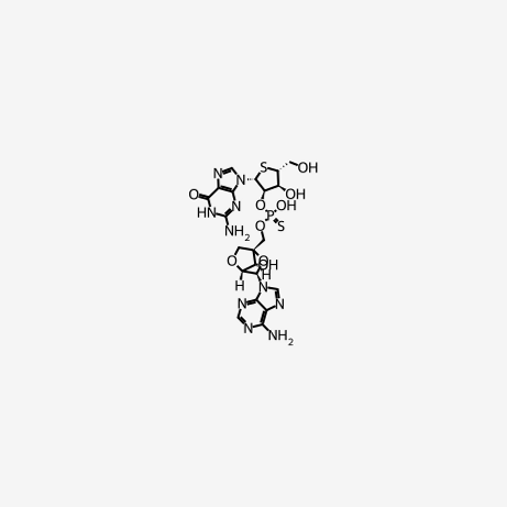 Nc1nc2c(ncn2[C@@H]2S[C@H](CO)[C@@H](O)[C@H]2OP(O)(=S)OC[C@@]23CO[C@@H]([C@H](n4cnc5c(N)ncnc54)O2)[C@@H]3O)c(=O)[nH]1